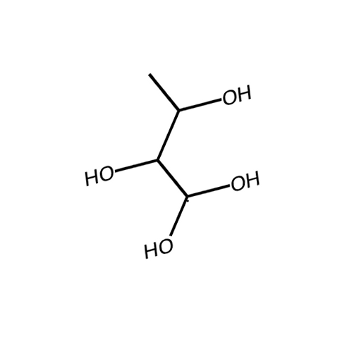 CC(O)C(O)[C](O)O